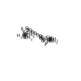 CC(C)c1nc(N(C)S(C)(=O)=O)nc(-c2ccc(F)cc2)c1/C=C/C1CC(OCCOCCOCCOCCOC(=O)OC2CC(=O)OC(/C=C/c3c(-c4ccc(F)cc4)nc(N(C)S(C)(=O)=O)nc3C(C)C)C2)CC(=O)O1